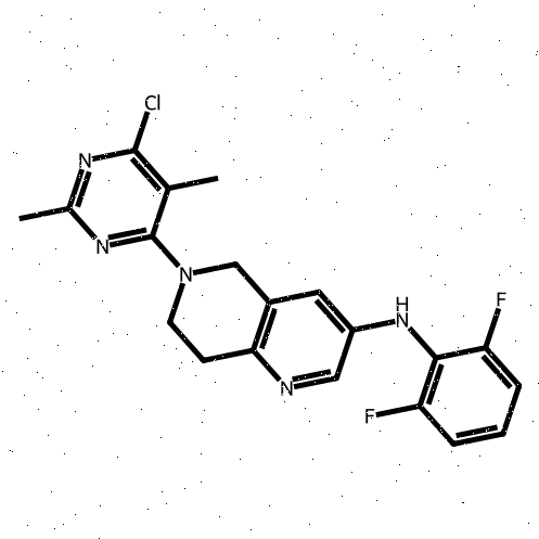 Cc1nc(Cl)c(C)c(N2CCc3ncc(Nc4c(F)cccc4F)cc3C2)n1